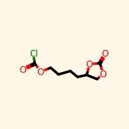 O=C(Cl)OCCCCC1COC(=O)O1